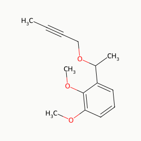 CC#CCOC(C)c1cccc(OC)c1OC